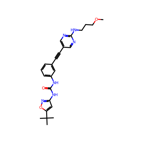 COCCCNc1ncc(C#Cc2cccc(NC(=O)Nc3cc(C(C)(C)C)on3)c2)cn1